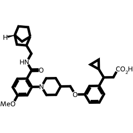 COc1ccc(C(=O)NCC2C[C@@H]3CCC2C3)c(N2CCC(COc3cccc(C(CC(=O)O)C4CC4)c3)CC2)c1